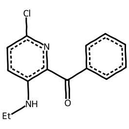 CCNc1ccc(Cl)nc1C(=O)c1ccccc1